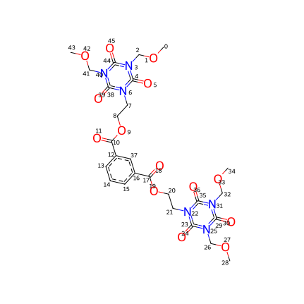 COCn1c(=O)n(CCOC(=O)c2cccc(C(=O)OCCn3c(=O)n(COC)c(=O)n(COC)c3=O)c2)c(=O)n(COC)c1=O